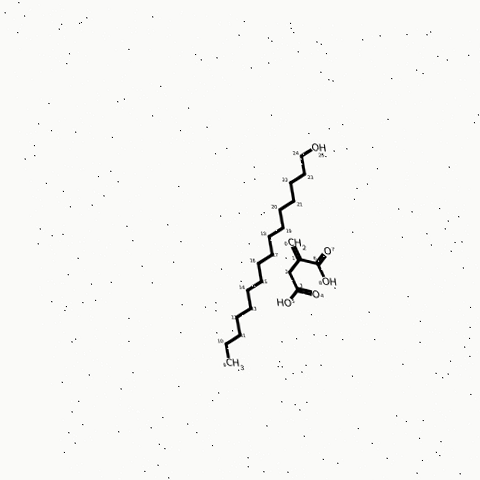 C=C(CC(=O)O)C(=O)O.CCCCCCCCCCCCCCCCO